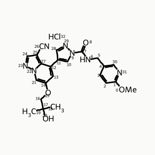 COc1ccc(CNC(=O)n2cc(-c3cc(OCC(C)(C)O)cn4ncc(C#N)c34)cn2)cn1.Cl